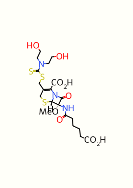 CO[C@@]1(NC(=O)CCCCC(=O)O)C(=O)N2C(C(=O)O)=C(CSC(=S)N(CCO)CCO)CS[C@H]21